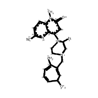 CCC1CN(CC2=CC(C(F)(F)F)C=CC=C2P)CCN1c1cc(=O)n(C)c2ccc(C#N)nc12